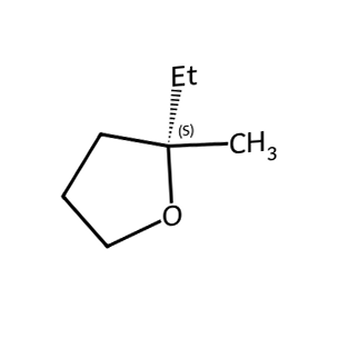 CC[C@@]1(C)CCCO1